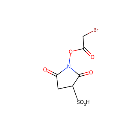 O=C(CBr)ON1C(=O)CC(S(=O)(=O)O)C1=O